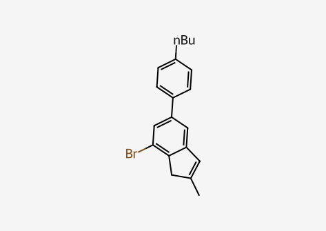 CCCCc1ccc(-c2cc(Br)c3c(c2)C=C(C)C3)cc1